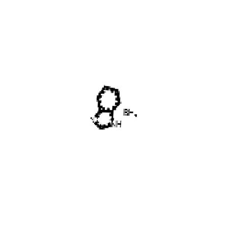 B.c1ccc2[nH]cnc2c1